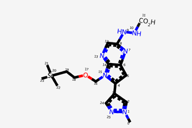 Cn1cc(-c2cc3nc(NNC(=O)O)cnc3n2COCC[Si](C)(C)C)cn1